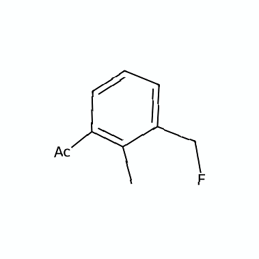 CC(=O)c1cccc(CF)c1C